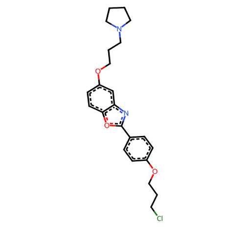 ClCCCOc1ccc(-c2nc3cc(OCCCN4CCCC4)ccc3o2)cc1